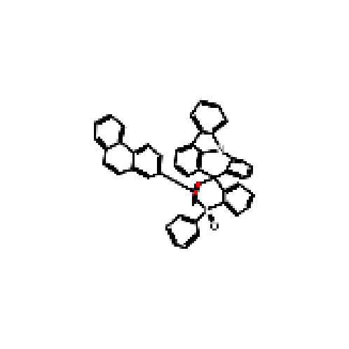 O=P1(c2ccccc2)c2ccccc2C2(c3ccccc3-n3c4ccccc4c4cccc2c43)c2cc(-c3ccc4c(ccc5ccccc54)c3)ccc21